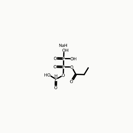 CCC(=O)OP(=O)(O[PH](=O)O)P(=O)(O)O.[NaH]